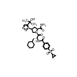 CC(C)(O)c1cnnn1C1CC(C(N)=O)N(C(=O)[C@@H](CC2CCCCC2)NC(=O)c2ccc(S(=O)(=O)C3CC3)cc2)C1